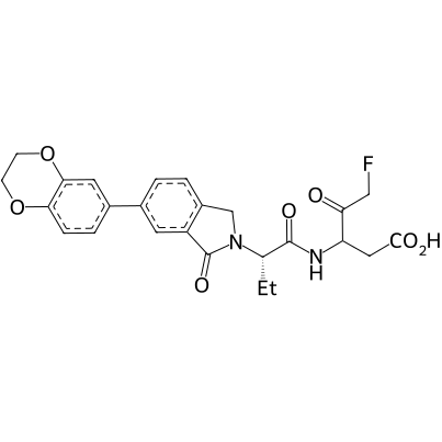 CC[C@@H](C(=O)NC(CC(=O)O)C(=O)CF)N1Cc2ccc(-c3ccc4c(c3)OCCO4)cc2C1=O